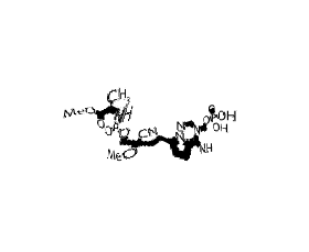 COC(=O)[C@H](C)N[PH](=O)OC[C@](C#N)(CCc1ccc2c(=N)n(COP(=O)(O)O)cnn12)OC